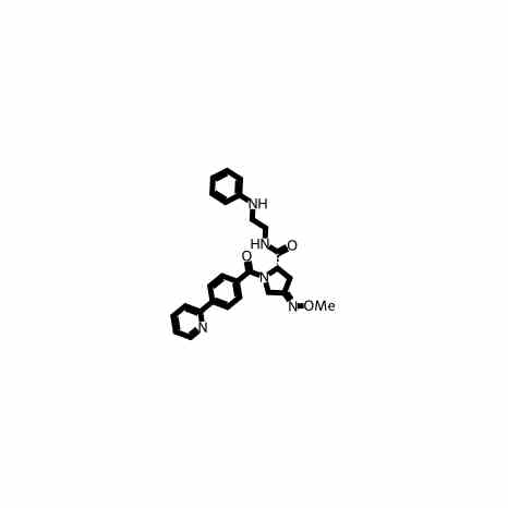 CO/N=C1\C[C@@H](C(=O)NCCNc2ccccc2)N(C(=O)c2ccc(-c3ccccn3)cc2)C1